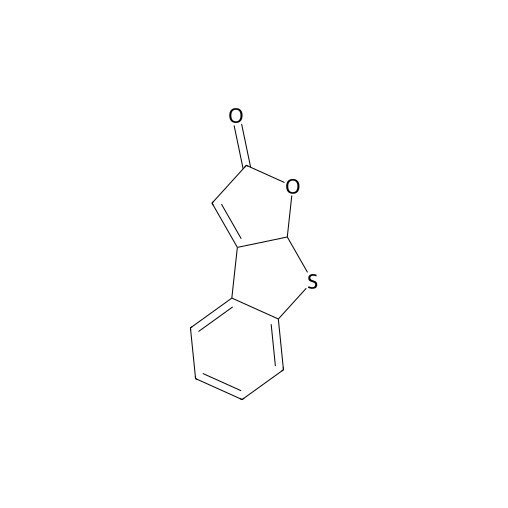 O=C1C=C2c3ccccc3SC2O1